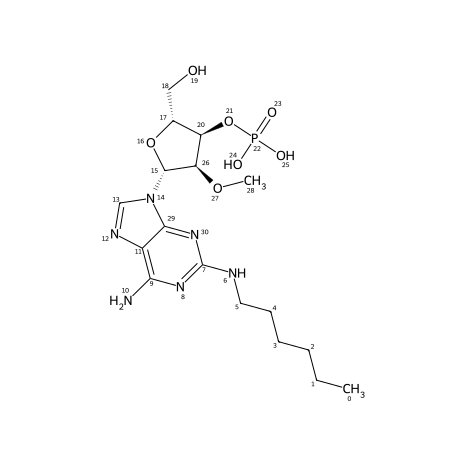 CCCCCCNc1nc(N)c2ncn([C@@H]3O[C@H](CO)[C@@H](OP(=O)(O)O)[C@H]3OC)c2n1